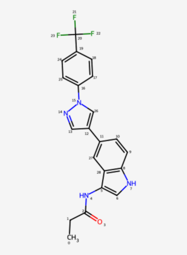 CCC(=O)Nc1c[nH]c2ccc(-c3cnn(-c4ccc(C(F)(F)F)cc4)c3)cc12